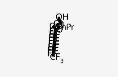 CCCN(CCO)S(=O)(=O)C(=O)C(F)(F)C(F)(F)C(F)(F)C(F)(F)C(F)(F)C(F)(F)C(F)(F)C(F)(F)C(F)(F)F